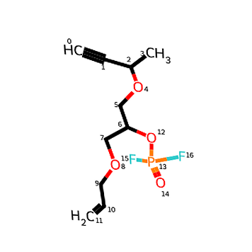 C#CC(C)OCC(COCC=C)OP(=O)(F)F